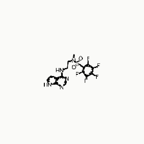 CN(CCNc1ncnc2[nH]ccc12)S(=O)(=O)c1c(F)c(F)c(F)c(F)c1F